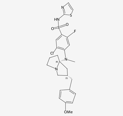 COc1ccc(C[C@@H]2CN3CCC[C@@]3(N(C)c3cc(F)c(S(=O)(=O)Nc4nccs4)cc3Cl)C2)cc1